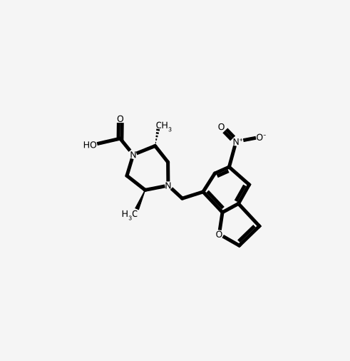 C[C@@H]1CN(Cc2cc([N+](=O)[O-])cc3ccoc23)[C@@H](C)CN1C(=O)O